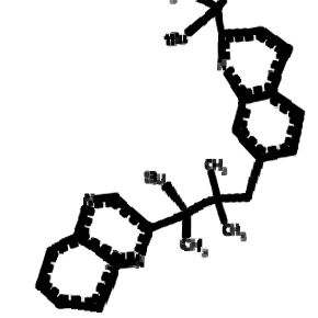 CC(C)(C)C(C)(c1ccc2ccc(CC(C)(C)[C@](C)(c3cnc4ccccc4n3)C(C)(C)C)cc2n1)C(C)(C)C